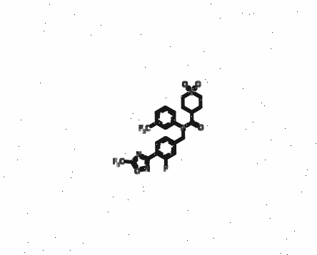 O=C(C1CCS(=O)(=O)CC1)N(Cc1ccc(-c2noc(C(F)(F)F)n2)c(F)c1)c1cccc(C(F)(F)F)c1